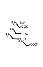 NCC(=O)O.NCC(=O)[O-].NCC(=O)[O-].NCC(=O)[O-].[Nd+3]